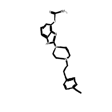 Cc1ccc(CCN2CCN(c3nc4c(OC(N)=O)cccc4[nH]3)CC2)cc1